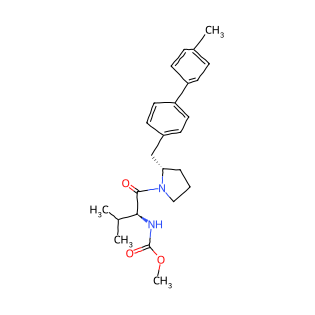 COC(=O)N[C@H](C(=O)N1CCC[C@H]1Cc1ccc(-c2ccc(C)cc2)cc1)C(C)C